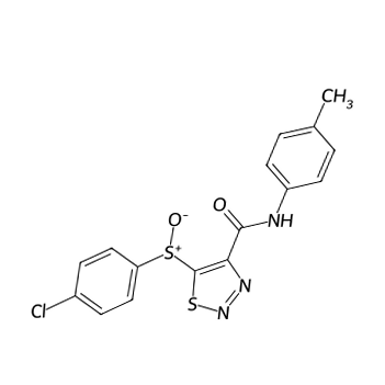 Cc1ccc(NC(=O)c2nnsc2[S+]([O-])c2ccc(Cl)cc2)cc1